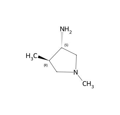 C[C@@H]1CN(C)C[C@H]1N